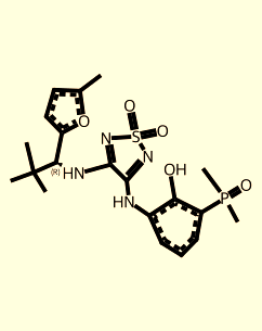 Cc1ccc([C@H](NC2=NS(=O)(=O)N=C2Nc2cccc(P(C)(C)=O)c2O)C(C)(C)C)o1